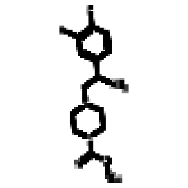 CC(C)(C)OC(=O)N1CCN(CC(N)c2ccc(Cl)c(F)c2)CC1